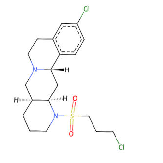 O=S(=O)(CCCCl)N1CCC[C@H]2CN3CCc4cc(Cl)ccc4[C@@H]3C[C@H]21